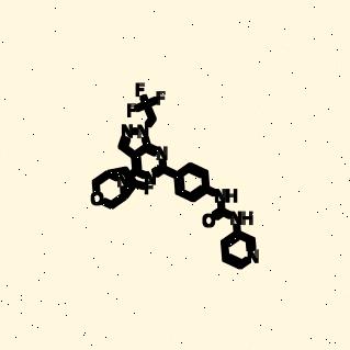 O=C(Nc1ccc(-c2nc(N3C4COCC3C(F)C4)c3cnn(CC(F)(F)F)c3n2)cc1)Nc1cccnc1